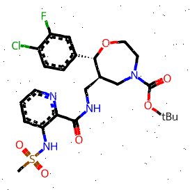 CC(C)(C)OC(=O)N1CCO[C@@H](c2ccc(Cl)c(F)c2)[C@H](CNC(=O)c2ncccc2NS(C)(=O)=O)C1